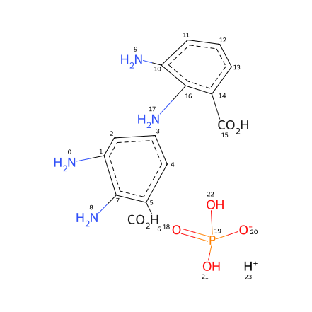 Nc1cccc(C(=O)O)c1N.Nc1cccc(C(=O)O)c1N.O=P([O-])(O)O.[H+]